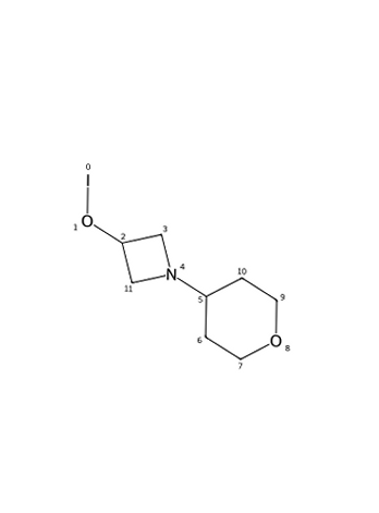 IOC1CN(C2CCOCC2)C1